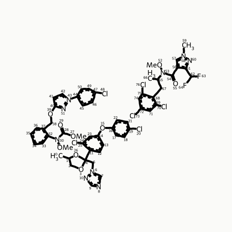 CC1COC(Cn2cncn2)(c2ccc(Oc3ccc(Cl)cc3)cc2Cl)O1.COC(=O)N(OC)c1ccccc1COc1ccn(-c2ccc(Cl)cc2)n1.CON(C(=O)c1cn(C)nc1C(F)F)C(C)Cc1c(Cl)cc(Cl)cc1Cl